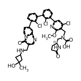 COc1nc(-c2cccc(-c3cccc(-c4ccn5c(=O)c(CNC6CC(C)(O)C6)cnc5c4)c3Cl)c2Cl)cc(Cl)c1CN(C[C@@H]1CCC(=O)N1)C(=O)O